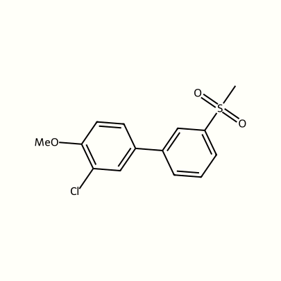 COc1ccc(-c2cccc(S(C)(=O)=O)c2)cc1Cl